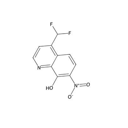 O=[N+]([O-])c1ccc2c(C(F)F)ccnc2c1O